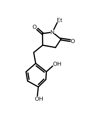 CCN1C(=O)CC(Cc2ccc(O)cc2O)C1=O